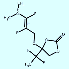 C[SH](C)/C(F)=C(\F)COC1(C(F)(F)C(F)(F)F)COC(=O)O1